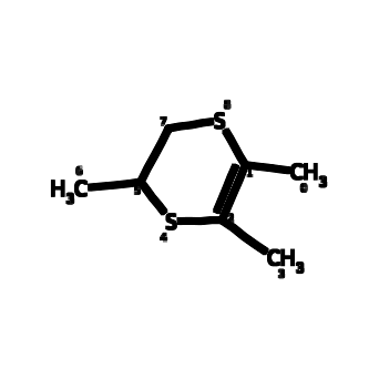 CC1=C(C)SC(C)CS1